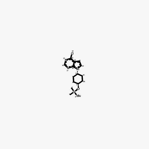 CC(C)(C)[Si](C)(C)O[C@H]1CC[C@H](n2ccc3c(Cl)ncnc32)CC1